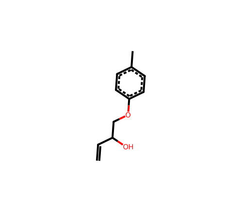 C=CC(O)COc1ccc(C)cc1